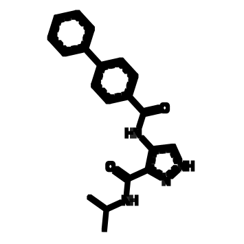 CC(C)NC(=O)c1n[nH]cc1NC(=O)c1ccc(-c2ccccc2)cc1